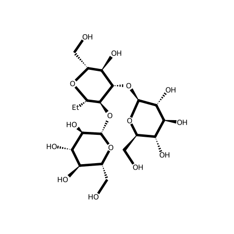 CC[C@@H]1O[C@H](CO)[C@@H](O)[C@H](O[C@@H]2O[C@H](CO)[C@@H](O)[C@H](O)[C@H]2O)[C@H]1O[C@@H]1O[C@H](CO)[C@@H](O)[C@H](O)[C@H]1O